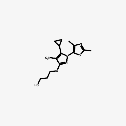 Cc1nc(C)c(-n2nc(OCCCO)c([N+](=O)[O-])c2C2CC2)o1